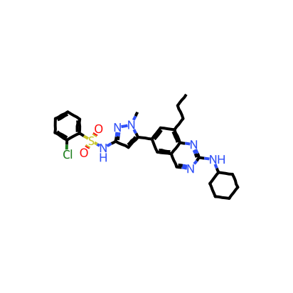 CCCc1cc(-c2cc(NS(=O)(=O)c3ccccc3Cl)nn2C)cc2cnc(NC3CCCCC3)nc12